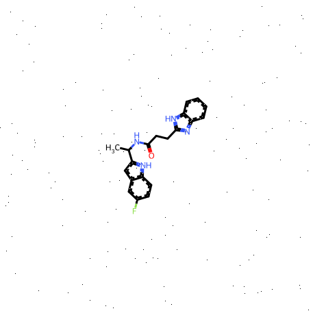 CC(NC(=O)CCc1nc2ccccc2[nH]1)c1cc2cc(F)ccc2[nH]1